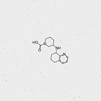 O=C(O)N1CCCC(NC2CCCc3cccnc32)C1